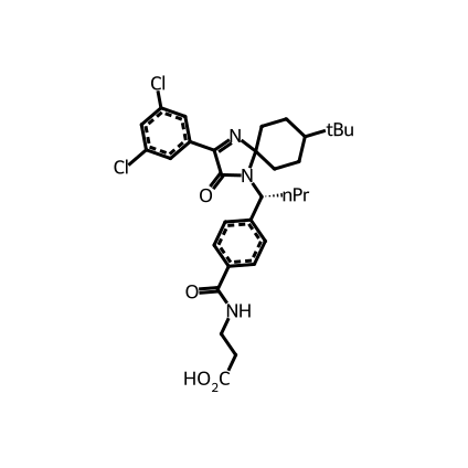 CCC[C@H](c1ccc(C(=O)NCCC(=O)O)cc1)N1C(=O)C(c2cc(Cl)cc(Cl)c2)=NC12CCC(C(C)(C)C)CC2